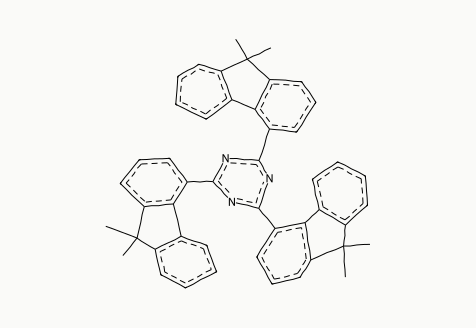 CC1(C)c2ccccc2-c2c(-c3nc(-c4cccc5c4-c4ccccc4C5(C)C)nc(-c4cccc5c4-c4ccccc4C5(C)C)n3)cccc21